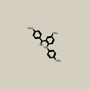 COc1ccc(Nc2ccc(OC)cc2C(N)c2ccc(OC)cc2)cc1